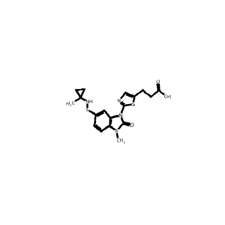 Cn1c(=O)n(-c2ncc(CCC(=O)O)s2)c2cc(SNC3(C)CC3)ccc21